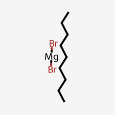 CCCCCCCCC.[Br][Mg][Br]